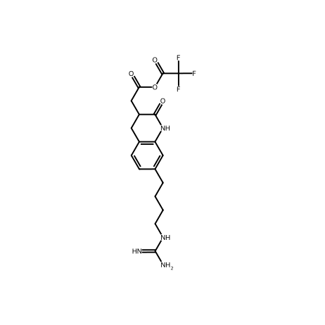 N=C(N)NCCCCc1ccc2c(c1)NC(=O)C(CC(=O)OC(=O)C(F)(F)F)C2